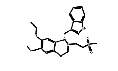 CCOc1cc2c(cc1OC)CCN(CCS(C)(=O)=O)[C@H]2Cc1c[nH]c2ccccc12